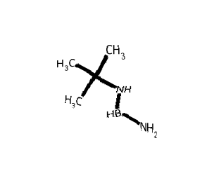 CC(C)(C)NBN